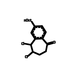 CCCCCCCCc1ccc2c(c1)C(Cl)C(Cl)CCC2=O